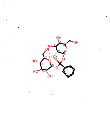 COC(O[C@H]1O[C@H](CO)[C@@H](O)[C@H](O)[C@H]1O)(O[C@H]1O[C@H](CO)[C@@H](O)[C@H](O)[C@H]1O)c1ccccc1